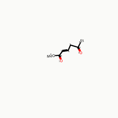 CCC(=O)CC=CC(=O)OC